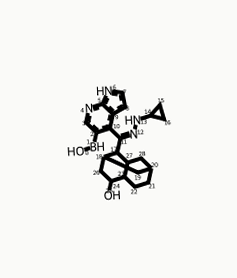 OBc1cnc2[nH]ccc2c1/C(=N\NC1CC1)C1C2CC3CCC(C(O)C2)C1C3